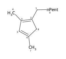 CCCCCCC1=C(C)C=C(C)C1